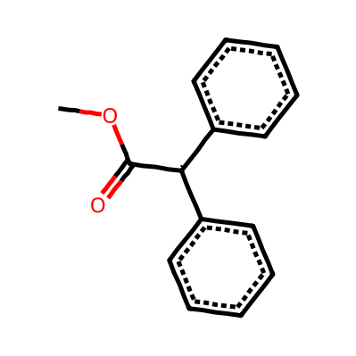 COC(=O)[C](c1ccccc1)c1ccccc1